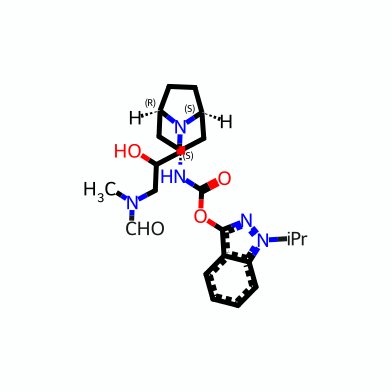 CC(C)n1nc(OC(=O)N[C@@H]2C[C@H]3CC[C@@H](C2)N3CC(O)CN(C)C=O)c2ccccc21